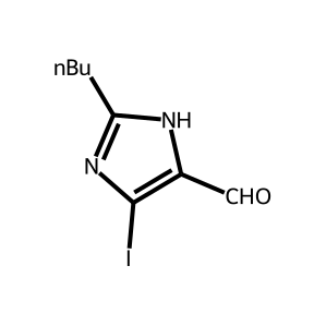 CCCCc1nc(I)c(C=O)[nH]1